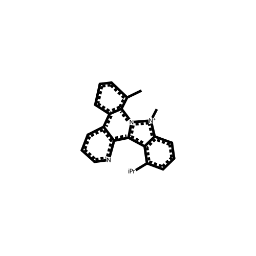 Cc1cccc2c3cccnc3c3c4c(C(C)C)cccc4[n+](C)n3c12